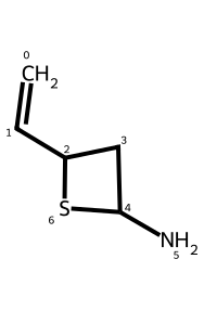 C=CC1CC(N)S1